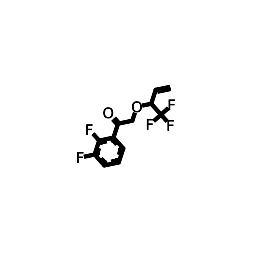 C=CC(OCC(=O)c1cccc(F)c1F)C(F)(F)F